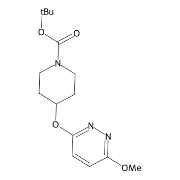 COc1ccc(OC2CCN(C(=O)OC(C)(C)C)CC2)nn1